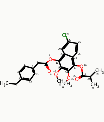 CCc1ccc(CC(=O)Oc2c(OC)c(OC)c(OC(=O)C(C)C)c3ccc(Cl)cc23)cc1